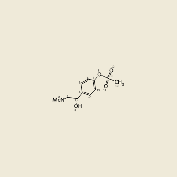 CNC[C@@H](O)c1ccc(OS(C)(=O)=O)cc1